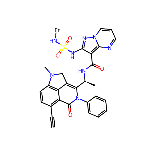 C#Cc1ccc2c3c(c([C@H](C)NC(=O)c4c(NS(=O)(=O)NCC)nn5cccnc45)n(-c4ccccc4)c(=O)c13)CN2C